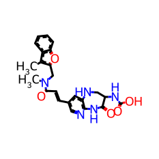 Cc1c(CN(C)C(=O)C=Cc2cnc3c(c2)NCC(NC(=O)O)C(=O)N3)oc2ccccc12